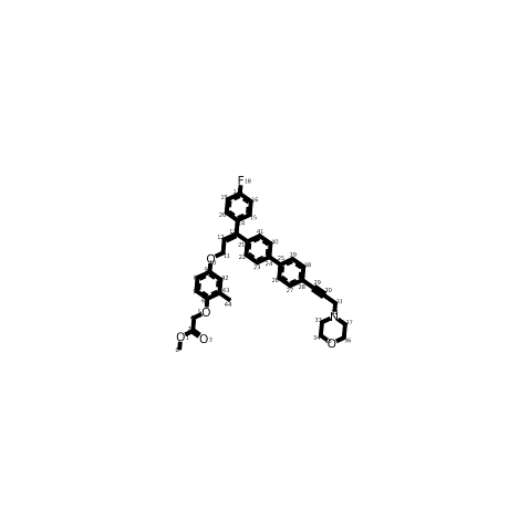 COC(=O)COc1ccc(OC/C=C(/c2ccc(F)cc2)c2ccc(-c3ccc(C#CCN4CCOCC4)cc3)cc2)cc1C